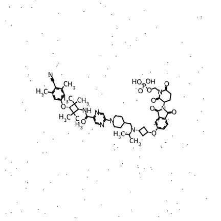 Cc1cc(O[C@H]2C(C)(C)[C@H](NC(=O)c3cnc(N4CCC(CN(C(C)C)[C@H]5C[C@H](Oc6ccc7c(c6)C(=O)N(C6CCC(=O)N(COP(=O)(O)O)C6=O)C7=O)C5)CC4)cn3)C2(C)C)cc(C)c1C#N